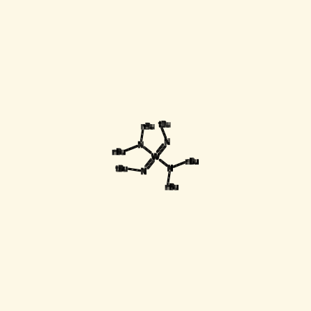 CCCC[N](CCCC)[W](=[N]C(C)(C)C)(=[N]C(C)(C)C)[N](CCCC)CCCC